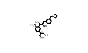 N=C/C(=C\S)c1ccc(N)c(C(=N)/C(N)=C/c2cccc(CN3CCC3)c2)c1